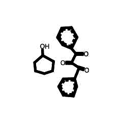 O=C(C(=O)c1ccccc1)C(=O)c1ccccc1.OC1CCCCC1